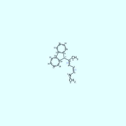 C=N/C=C\C=C(/C)C1c2ccccc2-c2ccccc21